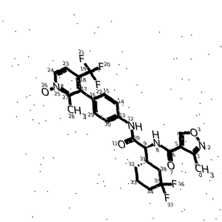 Cc1nocc1C(=O)N[C@H](C(=O)Nc1ccc(-c2c(C(F)(F)F)cc[n+]([O-])c2C)cc1)[C@H]1CCCC(F)(F)C1